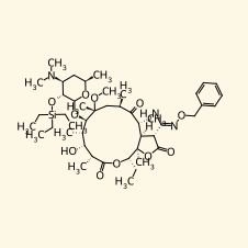 CC[C@@H]1OC(=O)[C@H](C)[C@H](O)[C@H](C)[C@@H](OC2O[C@H](C)C[C@H](N(C)C)[C@H]2O[Si](CC)(CC)CC)[C@](C)(OC)C[C@@H](C)C(=O)[C@H](C)[C@H]2[C@H](/C(N)=N/OCc3ccccc3)C(=O)O[C@]21C